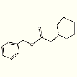 O=C(CN1CCCCC1)OCc1ccccc1